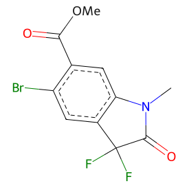 COC(=O)c1cc2c(cc1Br)C(F)(F)C(=O)N2C